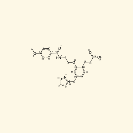 COc1ccc(C(=O)NCCOc2cc(Cn3cccn3)ccc2CCC(=O)O)cc1